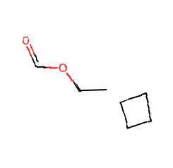 C1CCC1.CCOC=O